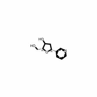 OC[C@H]1O[C@@H](c2cccnc2)CC1O